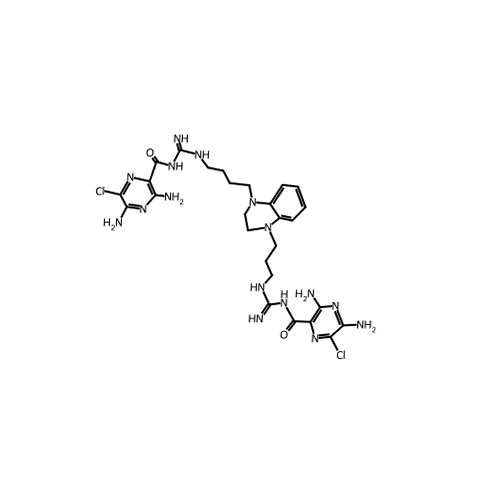 N=C(NCCCCN1CCN(CCCNC(=N)NC(=O)c2nc(Cl)c(N)nc2N)c2ccccc21)NC(=O)c1nc(Cl)c(N)nc1N